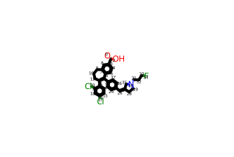 O=C(O)c1ccc2c(c1)CCCC(c1ccc(Cl)cc1Cl)=C2c1ccc(/C=C2/CCN(CCCF)C2)cc1